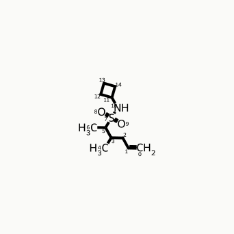 C=CCC(C)C(C)S(=O)(=O)NC1CCC1